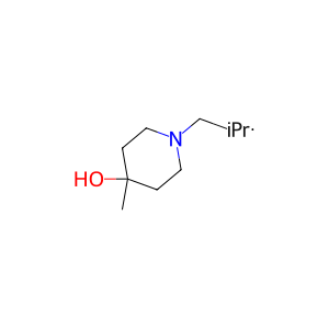 C[C](C)CN1CCC(C)(O)CC1